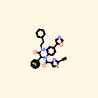 C#Cc1nc(C(=O)N(c2ccc(-c3cnco3)cc2)C(C(=O)NCCc2ccccc2)[C]23[CH]4[CH]5[CH]6[CH]2[Fe]56432789[CH]3[CH]2[CH]7[CH]8[CH]39)cs1